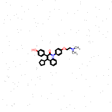 CN(C)CCOc1ccc(NC(=O)C(=C(c2ccccc2)C2CCCC2)c2ccc(O)cc2)cc1